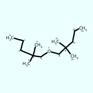 CCCC(C)(C)COCC(C)(C)CCC